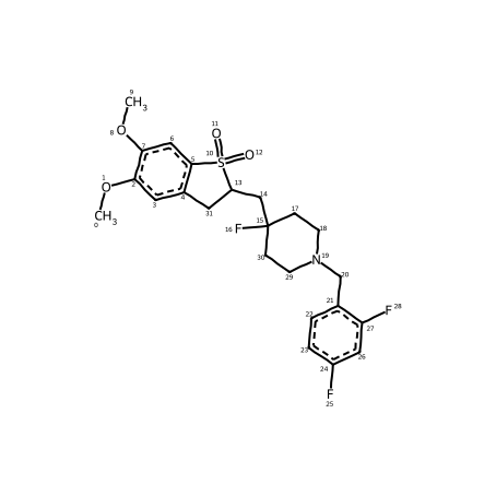 COc1cc2c(cc1OC)S(=O)(=O)C(CC1(F)CCN(Cc3ccc(F)cc3F)CC1)C2